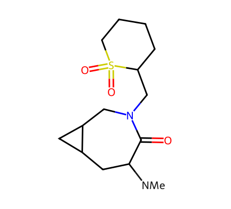 CNC1CC2CC2CN(CC2CCCCS2(=O)=O)C1=O